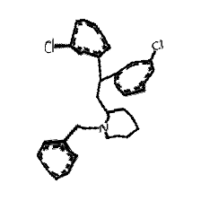 Clc1cccc(C(CC2CCCCN2Cc2ccccc2)c2cccc(Cl)c2)c1